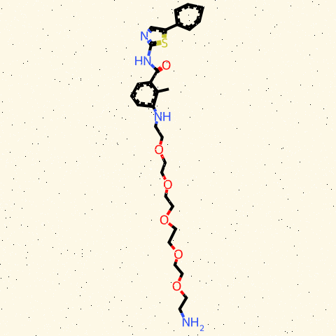 Cc1c(NCCOCCOCCOCCOCCOCCN)cccc1C(=O)Nc1ncc(-c2ccccc2)s1